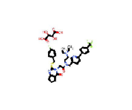 CCN(CC)CCN(Cc1ccc(-c2ccc(C(F)(F)F)cc2)nc1)C(=O)Cn1c(SCc2ccc(F)cc2)nc2c(c1=O)CCC2.O=C(O)C(O)C(O)C(=O)O